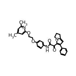 Cc1cc(C)nc(OCCOc2ccc(NC(=O)C(=O)c3c(-c4ccccc4)cc4n3CCC4)cc2)c1